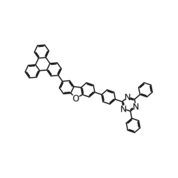 c1ccc(-c2nc(-c3ccccc3)nc(-c3ccc(-c4ccc5c(c4)oc4ccc(-c6ccc7c8ccccc8c8ccccc8c7c6)cc45)cc3)n2)cc1